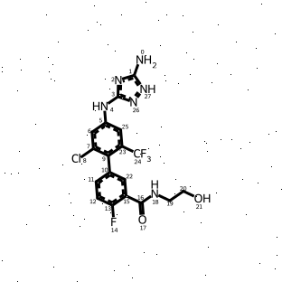 Nc1nc(Nc2cc(Cl)c(-c3ccc(F)c(C(=O)NCCO)c3)c(C(F)(F)F)c2)n[nH]1